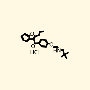 CCCc1oc2ccccc2c1C(=O)c1ccc(OCCNCC(C)(C)C)cc1.Cl